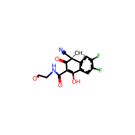 C[C@@]1(C#N)C(=O)C(C(=O)NCC=O)=C(O)c2cc(F)c(F)cc21